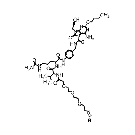 C#CCn1c(=O)n(C(=O)NCc2ccc(NC(=O)C(CCCNC(N)=O)NC(=O)C(NC(=O)COCCOCCOCCN=[N+]=[N-])C(C)C)cc2)c2c(N)nc(OCCCC)nc21